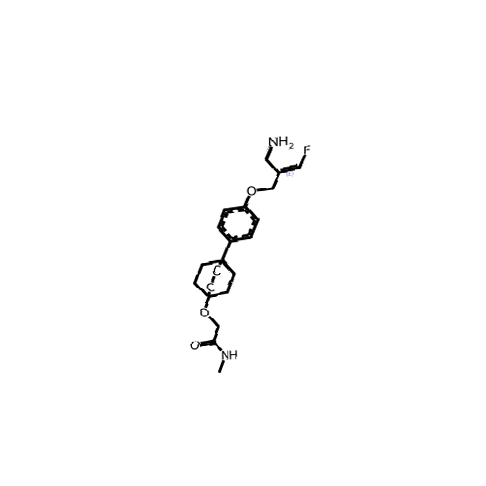 CNC(=O)COC12CCC(c3ccc(OC/C(=C/F)CN)cc3)(CC1)CC2